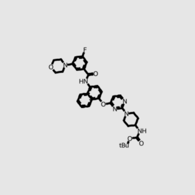 CC(C)(C)OC(=O)NC1CCN(c2nccc(Oc3ccc(NC(=O)c4cc(F)cc(N5CCOCC5)c4)c4ccccc34)n2)CC1